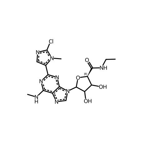 CCNC(=O)[C@@H]1OC(n2cnc3c(NC)nc(-c4cnc(Cl)n4C)nc32)C(O)C1O